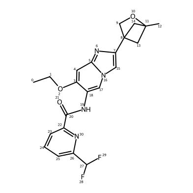 CCOc1cc2nc(C34COC(C)(C3)C4)cn2cc1NC(=O)c1cccc(C(F)F)n1